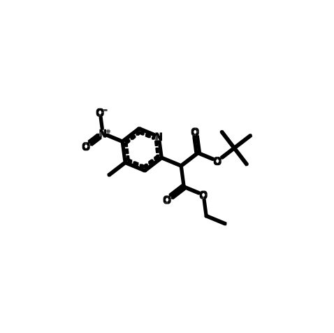 CCOC(=O)C(C(=O)OC(C)(C)C)c1cc(C)c([N+](=O)[O-])cn1